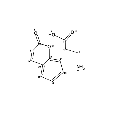 NCCC(=O)O.O=c1ccc2ccccc2o1